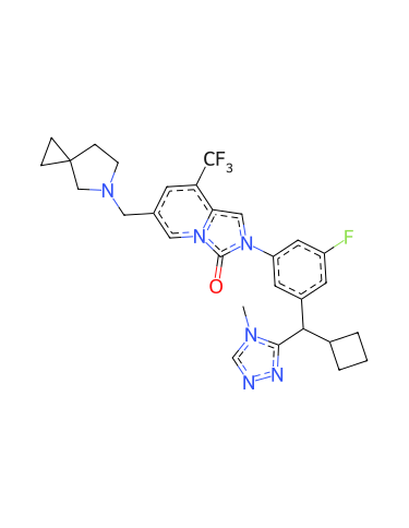 Cn1cnnc1C(c1cc(F)cc(-n2cc3c(C(F)(F)F)cc(CN4CCC5(CC5)C4)cn3c2=O)c1)C1CCC1